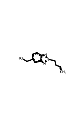 C=CCCn1nc2ccc(CO)cc2n1